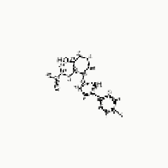 Cc1ccc(-c2cnc(C3CCCC(O)N3CC(C)[S+](C)[O-])[nH]2)cc1